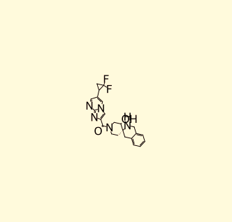 O=C(c1cn2cc(C3CC3(F)F)cnc2n1)N1CC[C@]2(Cc3ccccc3CN2)[C@H](O)C1